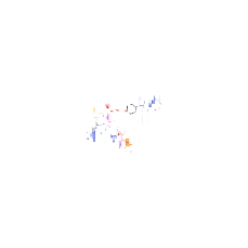 CC1(C)C(NC(=O)C(=NOC(COc2ccc(C(=N)NC3CCCNC3)cc2)C(=O)O)c2nc(N)sc2C(F)(F)F)C(=O)N1OS(=O)(=O)O